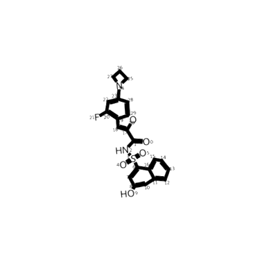 O=C(NS(=O)(=O)c1cc(O)cc2ccccc12)c1cc2c(F)cc(N3CCC3)cc2o1